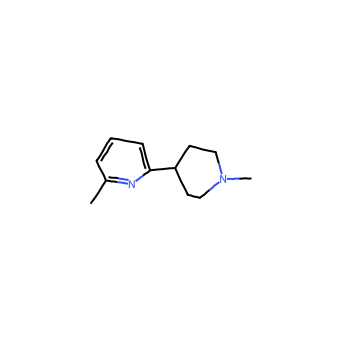 Cc1cccc(C2CCN(C)CC2)n1